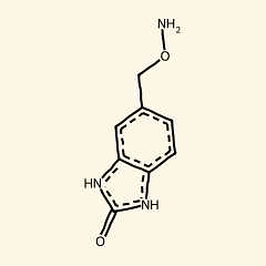 NOCc1ccc2[nH]c(=O)[nH]c2c1